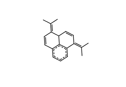 CC(C)=C1C=CC2C(=C(C)C)C=Cc3cccc1c32